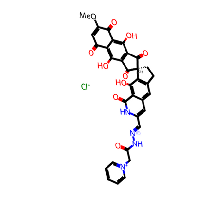 COC1=CC(=O)c2c(O)c3c(c(O)c2C1=O)C(=O)[C@]1(CCc2cc4cc(/C=N/NC(=O)C[n+]5ccccc5)[nH]c(=O)c4c(O)c21)C3=O.[Cl-]